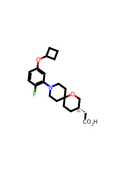 O=C(O)C[C@@H]1CCC2(CCN(c3cc(OC4CCC4)ccc3F)CC2)OC1